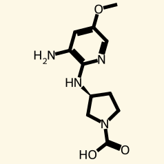 COc1cnc(N[C@H]2CCN(C(=O)O)C2)c(N)c1